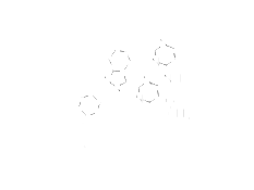 CCOc1cc(F)c(Cn2nc(-c3ncc(OC)c(Nc4ccncn4)n3)c3ccccc32)c(F)c1